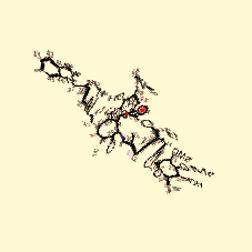 CC[C@H]1OC(=O)CC[C@@H]2/C(=C\C(C)=C\[C@@H]1COC1OC(C)C(O)C(OC)C1OC)C(=O)[C@H](C)C[C@H](CCn1cc(Cn3nnc4ccccc43)nn1)[C@@H]2O[C@@H]1O[C@@H]2OC2C(N(C)C)C1O